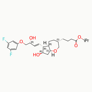 CC(C)OC(=O)CCC[C@H]1CC[C@@H]2[C@@H](C=C[C@@H](O)COc3cc(F)cc(F)c3)[C@H](O)C[C@@H]2OC1